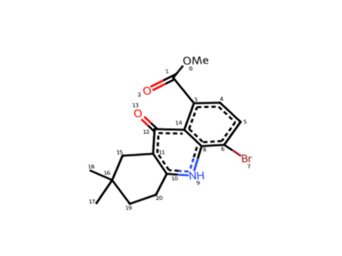 COC(=O)c1ccc(Br)c2[nH]c3c(c(=O)c12)CC(C)(C)CC3